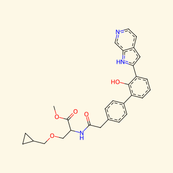 COC(=O)C(COCC1CC1)NC(=O)Cc1ccc(-c2cccc(-c3cc4ccncc4[nH]3)c2O)cc1